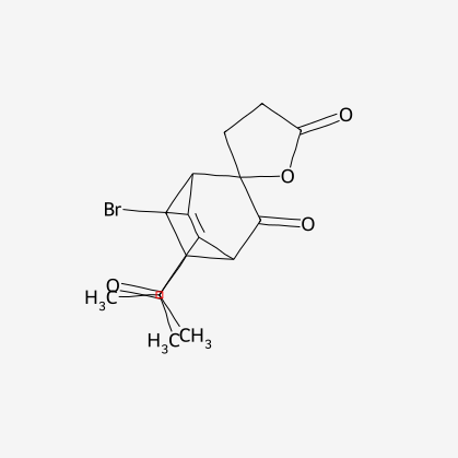 CC(=O)C1CC2C(Br)=C(C(C)C)C1C(=O)C21CCC(=O)O1